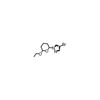 CCOC1CCCC(n2cc(Br)cn2)O1